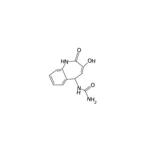 NC(=O)NC1C=C(O)C(=O)Nc2ccccc21